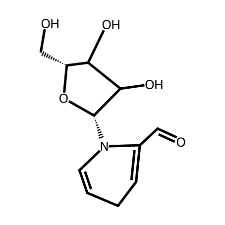 O=CC1=CCC=CN1[C@@H]1O[C@H](CO)C(O)C1O